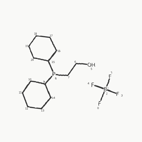 F[B-](F)(F)F.OCCP(C1CCCCC1)C1CCCCC1